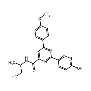 CC(CO)NC(=O)c1cc(-c2ccc(OC(F)(F)F)cc2)nc(-c2ccc(O)nc2)n1